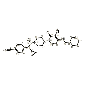 N#Cc1ccc(N(C2CC2)[S+]([O-])N2CCC(n3ncc(NCC4CCCOC4)c(Cl)c3=O)CC2)cc1